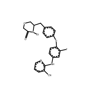 CCN1C(=O)COCC1Cc1ccc(Oc2ccc(Nc3ncccc3C#N)cc2F)cc1